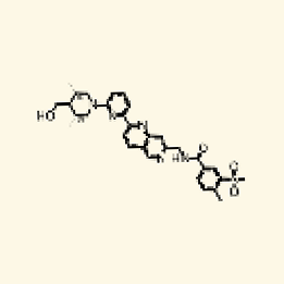 Cc1ccc(C(=O)NCc2cc3nc(-c4cccc(N5C[C@@H](C)C(CO)[C@@H](C)C5)n4)ccc3cn2)cc1S(C)(=O)=O